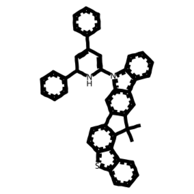 CC1(C)c2cc3c4ccccc4n(C4=CC(c5ccccc5)=CC(c5ccccc5)N4)c3cc2-c2ccc3sc4ccccc4c3c21